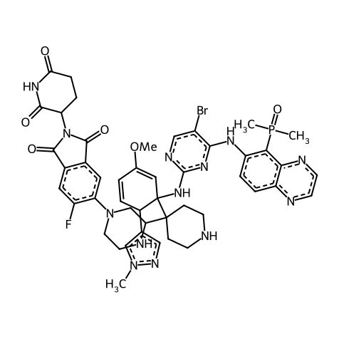 COC1=CC(Nc2ncc(Br)c(Nc3ccc4nccnc4c3P(C)(C)=O)n2)(C2(C3CN(c4cc5c(cc4F)C(=O)N(C4CCC(=O)NC4=O)C5=O)CCN3)CCNCC2)C(c2cnn(C)c2)C=C1